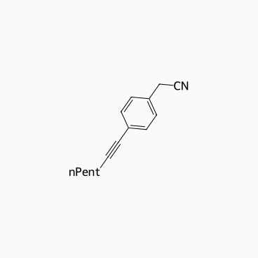 CCCCCC#Cc1ccc(CC#N)cc1